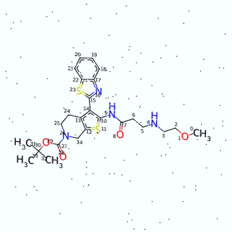 COCCNCCC(=O)Nc1sc2c(c1-c1nc3ccccc3s1)CCN(C(=O)OC(C)(C)C)C2